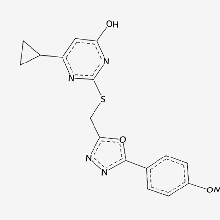 COc1ccc(-c2nnc(CSc3nc(O)cc(C4CC4)n3)o2)cc1